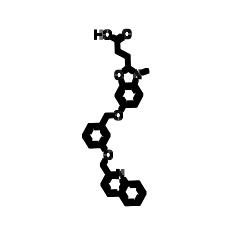 CN1c2ccc(OCc3cccc(OCc4ccc5ccccc5n4)c3)cc2OC1CCC(=O)O